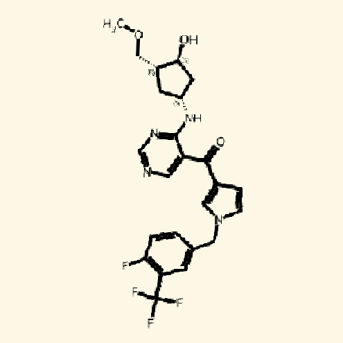 COC[C@H]1C[C@@H](Nc2ncncc2C(=O)c2ccn(Cc3ccc(F)c(C(F)(F)F)c3)c2)C[C@@H]1O